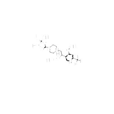 COc1cc(C(F)(F)F)ncc1C(O)CN1CCN(C(=O)OC(C)(C)C)C[C@H]1CO